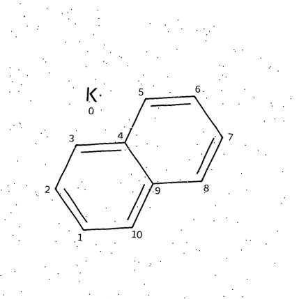 [K].c1ccc2ccccc2c1